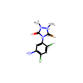 Cn1c(=O)n(-c2cc(N)c(Cl)cc2F)c(=S)n1C